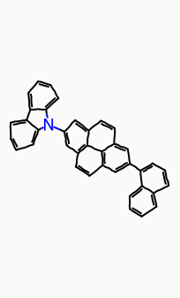 c1ccc2c(-c3cc4ccc5cc(-n6c7ccccc7c7ccccc76)cc6ccc(c3)c4c56)cccc2c1